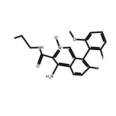 CCCNC(=O)c1c(N)c2ccc(F)c(-c3c(F)cccc3OC)c2c[n+]1[O-]